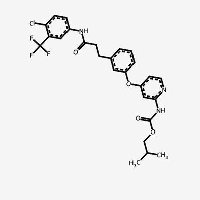 CC(C)COC(=O)Nc1cc(Oc2cccc(CCC(=O)Nc3ccc(Cl)c(C(F)(F)F)c3)c2)ccn1